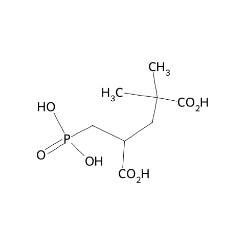 CC(C)(CC(CP(=O)(O)O)C(=O)O)C(=O)O